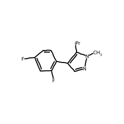 CC(C)c1c(-c2ccc(F)cc2F)cnn1C